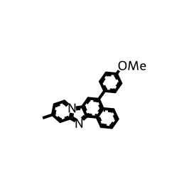 COc1ccc(-c2cc3c(nc4cc(C)ccn43)c3ccccc23)cc1